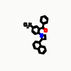 O=C(c1ccccc1)c1cc([N+](=O)[O-])ccc1N1C=CC1c1cccc2ccccc12